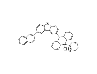 CC1(C2=CCCC=C2)C2C=CC=CC2C(c2ccc3sc4ccc(-c5ccc6ccccc6c5)cc4c3c2)C2C=CC=CC21